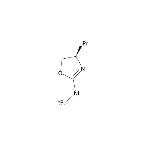 CC(C)[C@@H]1COC(NC(C)(C)C)=N1